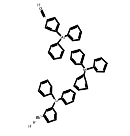 [C]=O.[H-].[H-].[H-].[Rh+3].c1ccc([As](c2ccccc2)c2ccccc2)cc1.c1ccc([As](c2ccccc2)c2ccccc2)cc1.c1ccc([As](c2ccccc2)c2ccccc2)cc1